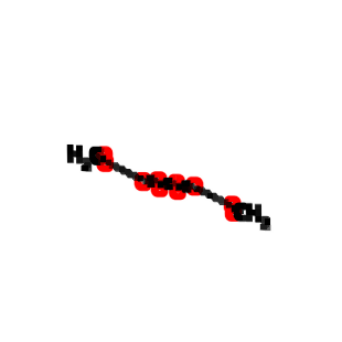 C=CC(=O)OCCCCCCCCCCCOc1ccc(OC(=O)c2ccc(OC(=O)c3ccc(OCCCCCCCCCCCOC(=O)C=C)cc3)cc2)cc1